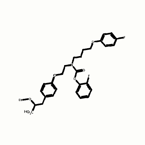 CCOC(Cc1ccc(OCCN(CCCCOc2ccc(F)cc2)C(=O)Oc2ccccc2F)cc1)C(=O)O